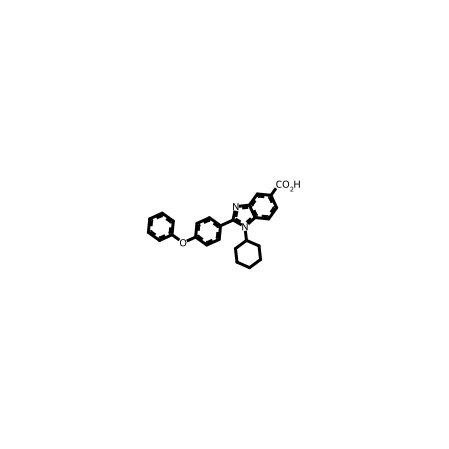 O=C(O)c1ccc2c(c1)nc(-c1ccc(Oc3ccccc3)cc1)n2C1CCCCC1